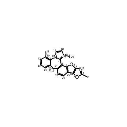 Cc1nc2oc3c(-c4n(-c5c(C)cccc5C)cc[n+]4I)c(C)ccc3c2o1